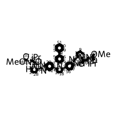 COC(=O)N[C@H](C(=O)N1CCC[C@H]1c1nc2cc([C@H]3CC[C@H](c4ccc5[nH]c([C@@H]6CCCN6C(=O)[C@@H](NC(=O)OC)C(C)C)nc5c4)N3c3ccc(-c4ccccc4)cc3)ccc2[nH]1)C(C)C